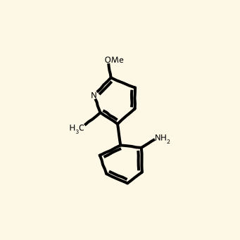 COc1ccc(-c2ccccc2N)c(C)n1